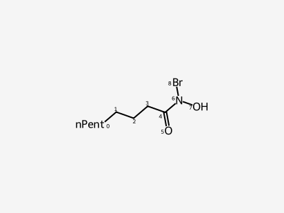 CCCCCCCCC(=O)N(O)Br